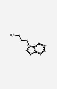 CCCCn1ccc2c[c]ncc21